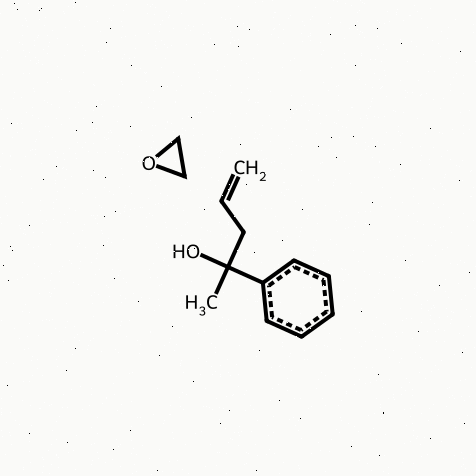 C1CO1.C=CCC(C)(O)c1ccccc1